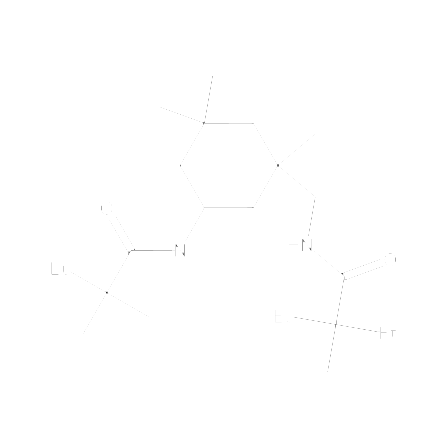 CCC(C)(C)C(=O)NC1CC(C)(C)CC(C)(CNC(=O)C(C)(CC)CC)C1